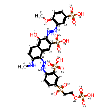 CNc1ccc2c(O)c(/N=N/c3cc(S(=O)(=O)O)ccc3OC)c(S(=O)(=O)O)cc2c1/N=N/c1ccc(S(=O)(=O)CCOS(=O)(=O)O)cc1S(=O)(=O)O